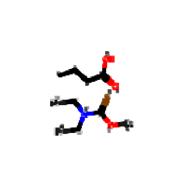 CCCC(=O)O.CCOC(=S)N(CC(C)C)CC(C)C